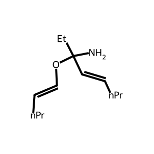 CCC/C=C/OC(N)(/C=C/CCC)CC